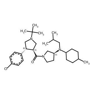 CC(C)CN(C1CCC(C)CC1)[C@H]1CCN(C(=O)[C@@H]2CN(C(C)(C)C)C[C@H]2c2ccc(Cl)cc2)C1